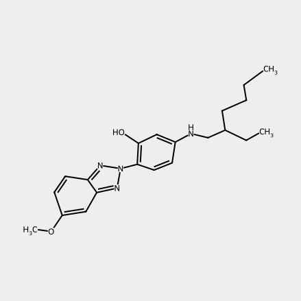 CCCCC(CC)CNc1ccc(-n2nc3ccc(OC)cc3n2)c(O)c1